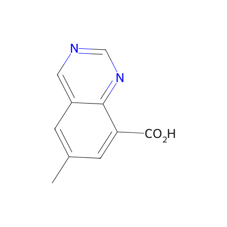 Cc1cc(C(=O)O)c2ncncc2c1